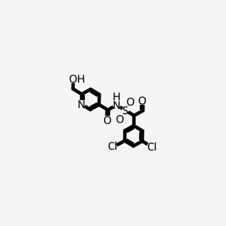 O=CC(c1cc(Cl)cc(Cl)c1)S(=O)(=O)NC(=O)c1ccc(CO)nc1